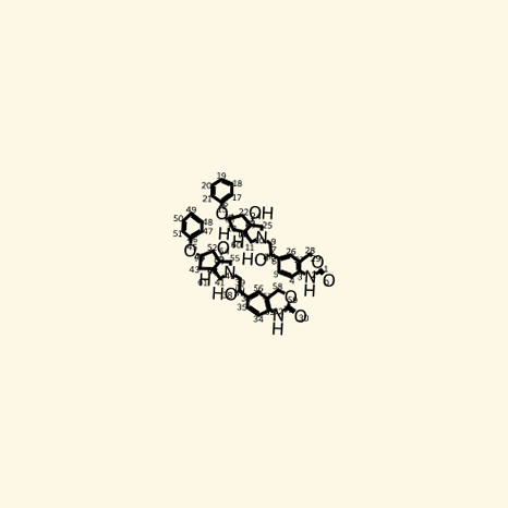 O=C1Nc2ccc([C@@H](O)CN3C[C@H]4C[C@H](Oc5ccccc5)C[C@@]4(O)C3)cc2CO1.O=C1Nc2ccc([C@H](O)CN3C[C@H]4C[C@H](Oc5ccccc5)C[C@@]4(O)C3)cc2CO1